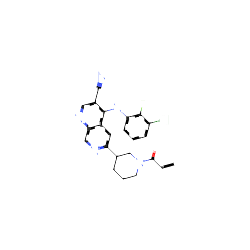 C=CC(=O)N1CCCC(c2cc3c(Nc4cccc(Cl)c4F)c(C#N)cnc3cn2)C1